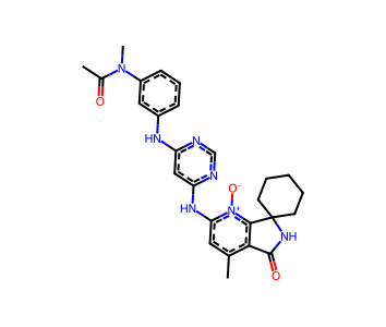 CC(=O)N(C)c1cccc(Nc2cc(Nc3cc(C)c4c([n+]3[O-])C3(CCCCC3)NC4=O)ncn2)c1